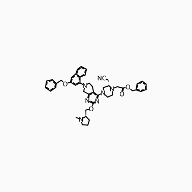 CN1CCC[C@@H]1COc1nc2c(c(N3CCN(CC(=O)OCc4ccccc4)[C@@H](CC#N)C3)n1)CCN(c1cc(OCc3ccccc3)cc3ccccc13)C2